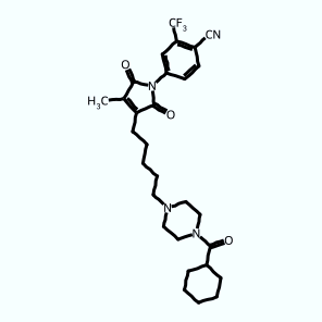 CC1=C(CCCCCN2CCN(C(=O)C3CCCCC3)CC2)C(=O)N(c2ccc(C#N)c(C(F)(F)F)c2)C1=O